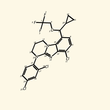 FC(F)(F)COC(c1ccc(Cl)c2nc3n(c12)CCCN3c1ccc(Cl)cc1Cl)C1CC1